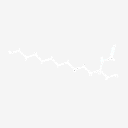 CCCCCCCCCCCC(CC)O[C]=O